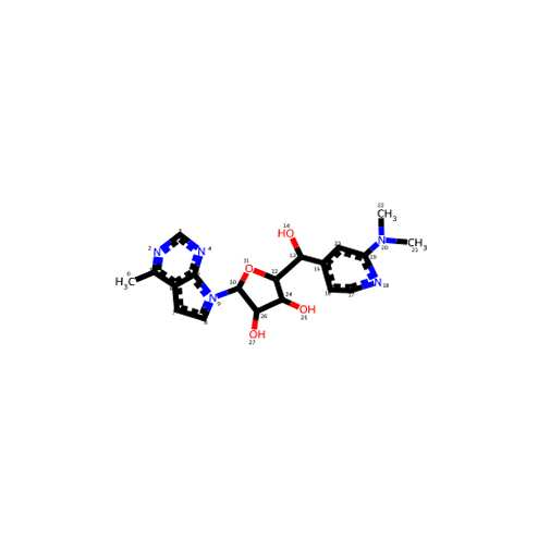 Cc1ncnc2c1ccn2C1OC(C(O)c2ccnc(N(C)C)c2)C(O)C1O